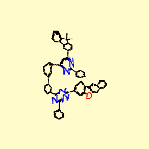 CC1(C)c2ccccc2-c2cc(-c3cc(-c4cccc(-c5cccc(-c6nc(-c7ccccc7)nc(-c7ccc8c(c7)oc7cc9ccccc9cc78)n6)c5)c4)nc(-c4ccccc4)n3)ccc21